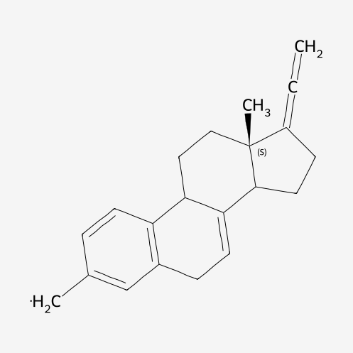 [CH2]c1ccc2c(c1)CC=C1C2CC[C@]2(C)C(=C=C)CCC12